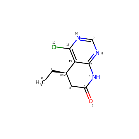 CC[C@@H]1CC(=O)Nc2ncnc(Cl)c21